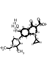 CCN1CCN(c2cc3c(cc2F)c(=O)c(C(=O)O)cn3C2CC2)CC1C.I.O